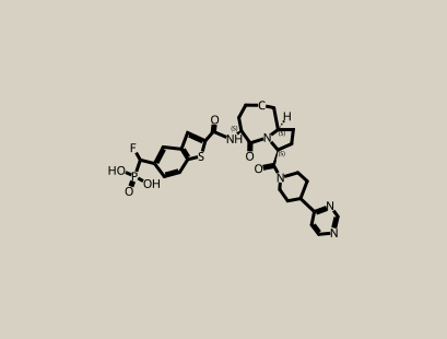 O=C(N[C@H]1CCCC[C@H]2CC[C@@H](C(=O)N3CCC(c4ccncn4)CC3)N2C1=O)c1cc2cc(C(F)P(=O)(O)O)ccc2s1